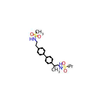 CC(C)S(=O)(=O)NC[C@@H](C)c1ccc(-c2ccc(CCNS(C)(=O)=O)cc2)cc1